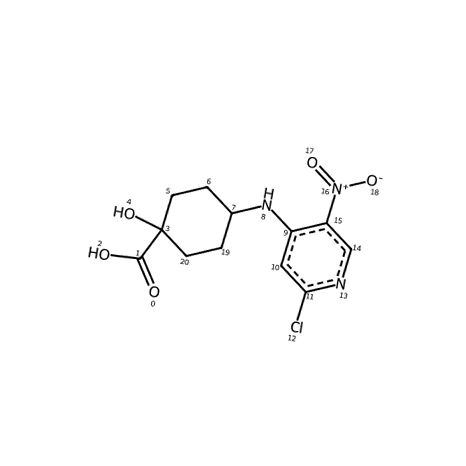 O=C(O)C1(O)CCC(Nc2cc(Cl)ncc2[N+](=O)[O-])CC1